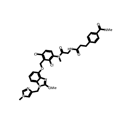 CNC(=O)c1ccc(CCC(=O)NCC(=O)N(C)c2ccc(Cl)c(COc3cccc4c3nc(OC)n4Cc3cn(C)cn3)c2Cl)cc1